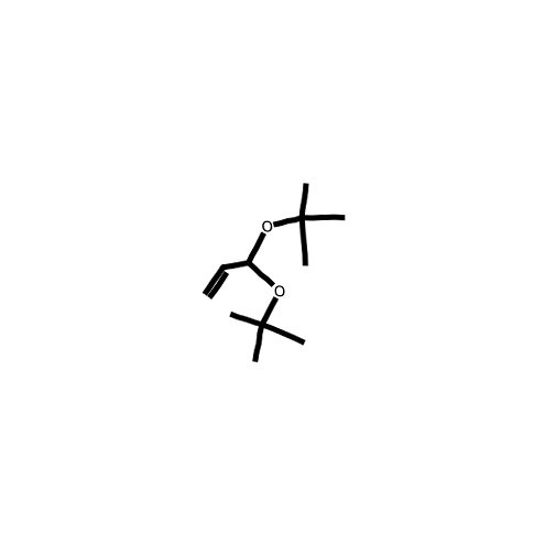 C=CC(OC(C)(C)C)OC(C)(C)C